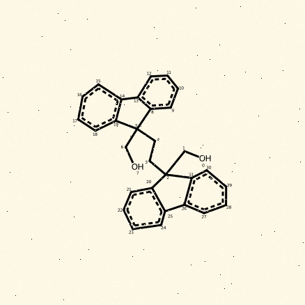 OCC1(CCC2(CO)c3ccccc3-c3ccccc32)c2ccccc2-c2ccccc21